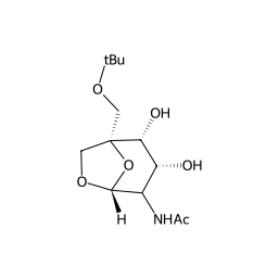 CC(=O)NC1[C@@H]2OC[C@](COC(C)(C)C)(O2)[C@H](O)[C@@H]1O